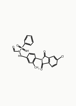 Cc1cc(NN(C=O)S(=N)(=O)c2ccccc2)ccc1N1C(=O)c2ccc(Cl)cc2C1=O